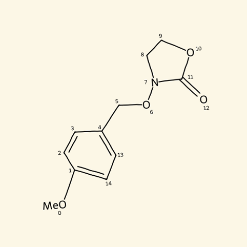 COc1ccc(CON2CCOC2=O)cc1